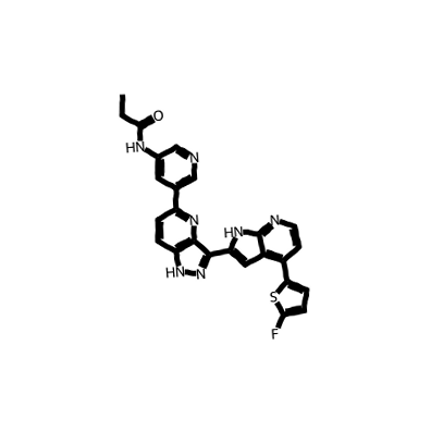 CCC(=O)Nc1cncc(-c2ccc3[nH]nc(-c4cc5c(-c6ccc(F)s6)ccnc5[nH]4)c3n2)c1